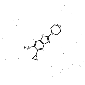 Nc1cc2oc(N3CCOCC3)nc2cc1C1CC1